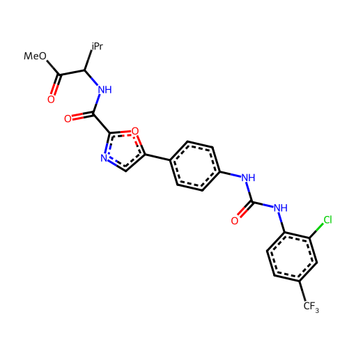 COC(=O)C(NC(=O)c1ncc(-c2ccc(NC(=O)Nc3ccc(C(F)(F)F)cc3Cl)cc2)o1)C(C)C